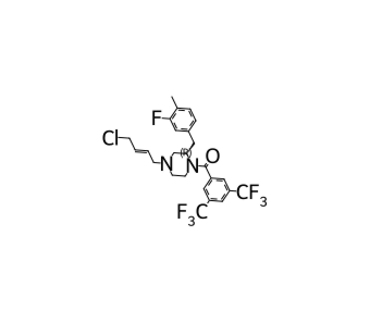 Cc1ccc(C[C@@H]2CN(CC=CCCl)CCN2C(=O)c2cc(C(F)(F)F)cc(C(F)(F)F)c2)cc1F